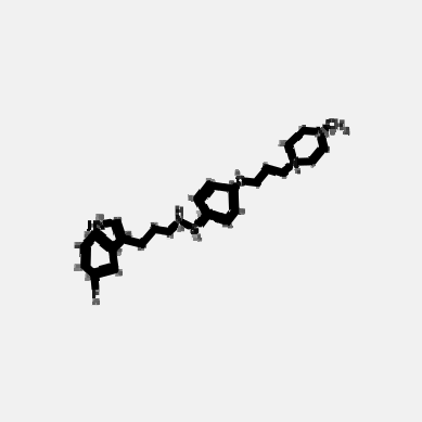 CN1CCN(CCCOc2ccc(SNCCCc3c[nH]c4ccc(F)cc34)cc2)CC1